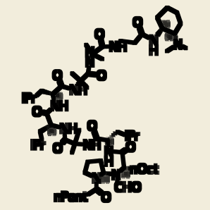 CCCCCCCC[C@@H](C(=O)N[C@@H](CC(C)C)C(=O)NC(C)(C)C(=O)N[C@@H](CC(C)C)C(=O)N[C@@H](CC(C)C)C(=O)NC(C)(C)C(=O)NC(C)(C)C(=O)NCCC(=O)N[C@H]1CCCC[C@@H]1N(C)C)N(C=O)[C@@H]1CCCN1C(=O)CCCCC